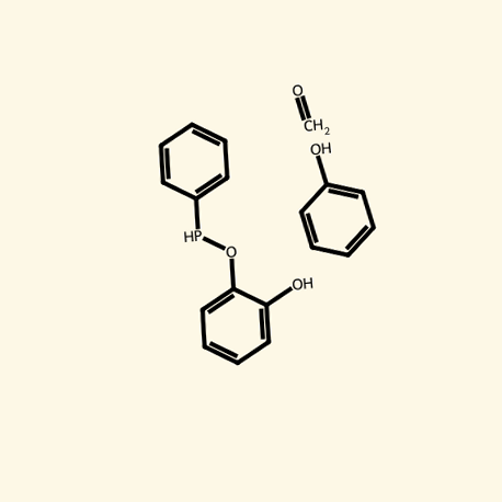 C=O.Oc1ccccc1.Oc1ccccc1OPc1ccccc1